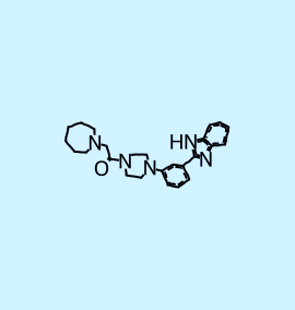 O=C(CN1CCCCCC1)N1CCN(c2cccc(-c3nc4ccccc4[nH]3)c2)CC1